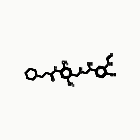 Cc1cc(NC(=O)CCN2CC[CH]CC2)c(C)cc1CNC[C@@H](O)c1ccc(O)c(NC=O)c1